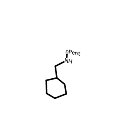 CCCCCNCC1CCCCC1